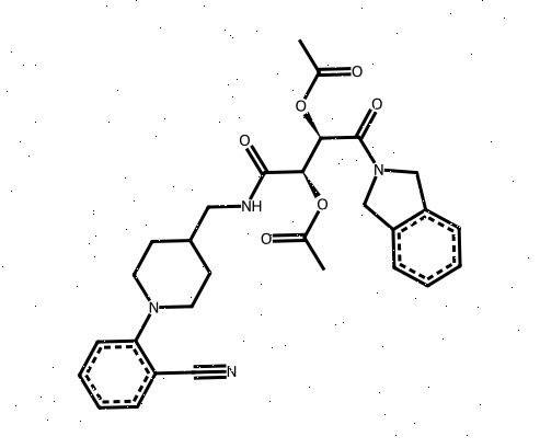 CC(=O)O[C@@H](C(=O)NCC1CCN(c2ccccc2C#N)CC1)[C@@H](OC(C)=O)C(=O)N1Cc2ccccc2C1